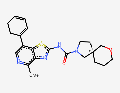 COc1ncc(C2=CC=CCC2)c2sc(NC(=O)N3CC[C@]4(CCCOC4)C3)nc12